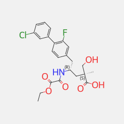 CCOC(=O)C(=O)N[C@H](Cc1ccc(-c2cccc(Cl)c2)c(F)c1)C[C@@](C)(CO)C(=O)O